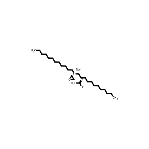 C1CO1.CC(=O)[O-].CCCCCCCCCCCCOCCCCCCCCCCCC.[Na+]